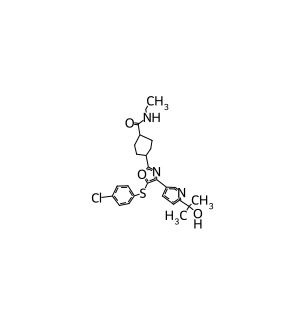 CCNC(=O)C1CCC(c2nc(-c3ccc(C(C)(C)O)nc3)c(Sc3ccc(Cl)cc3)o2)CC1